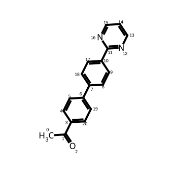 CC(=O)c1ccc(-c2ccc(-c3ncccn3)cc2)cc1